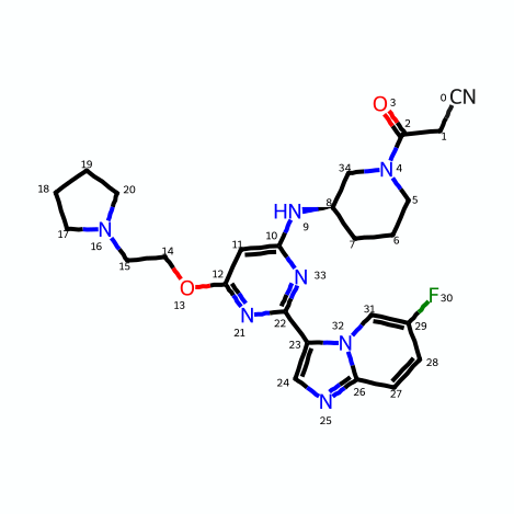 N#CCC(=O)N1CCC[C@@H](Nc2cc(OCCN3CCCC3)nc(-c3cnc4ccc(F)cn34)n2)C1